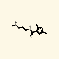 CNCCCNC(=O)c1cc(C)sc1Cl